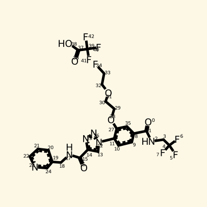 O=C(NCC(F)(F)F)c1ccc(-n2cc(C(=O)NCc3cccnc3)nn2)c(OCCOCCF)c1.O=C(O)C(F)(F)F